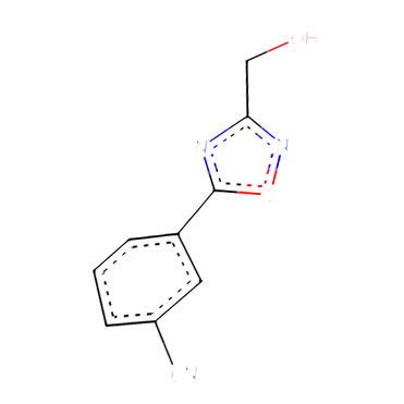 N#Cc1cccc(-c2nc(CO)no2)c1